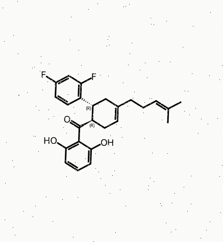 CC(C)=CCCC1=CC[C@@H](C(=O)c2c(O)cccc2O)[C@H](c2ccc(F)cc2F)C1